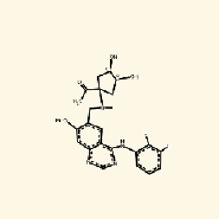 COc1cc2ncnc(Nc3cccc(Cl)c3F)c2cc1CN(C)C1(C(N)=O)C[C@@H](O)[C@@H](O)C1